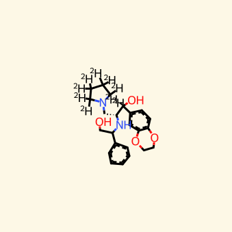 [2H]C1([2H])N(C[C@@H](NC(CO)c2ccccc2)[C@]([2H])(O)c2ccc3c(c2)OCCO3)C([2H])([2H])C([2H])([2H])C1([2H])[2H]